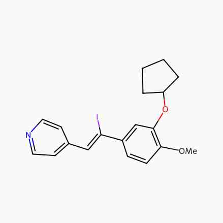 COc1ccc(/C(I)=C/c2ccncc2)cc1OC1CCCC1